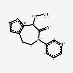 CNC1C(=O)N(c2cccnc2)CCc2ccsc21